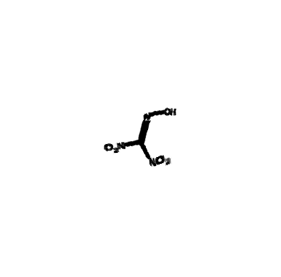 O=[N+]([O-])C(=NO)[N+](=O)[O-]